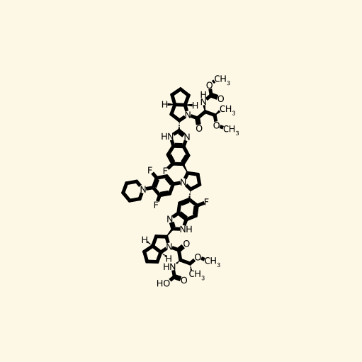 COC(=O)N[C@H](C(=O)N1[C@H](c2nc3cc([C@H]4CC[C@H](c5cc6nc([C@@H]7C[C@@H]8CCC[C@@H]8N7C(=O)[C@@H](NC(=O)O)[C@@H](C)OC)[nH]c6cc5F)N4c4cc(F)c(N5CCCCC5)c(F)c4)c(F)cc3[nH]2)C[C@@H]2CCC[C@@H]21)[C@@H](C)OC